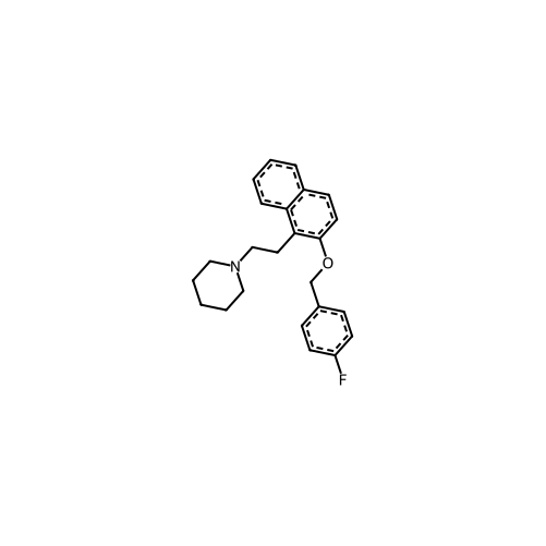 Fc1ccc(COc2ccc3ccccc3c2CCN2CCCCC2)cc1